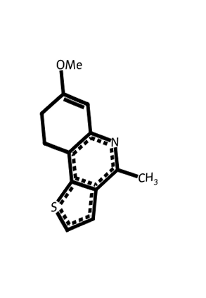 COC1=Cc2nc(C)c3ccsc3c2CC1